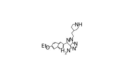 CCOc1ccc2cc(-c3nn(CCC4CCNCC4)c4ncnc(N)c34)ccc2c1